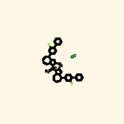 [CH2]=[Hf+2]([CH]1C(CC)=CC2=C1C=CC=CC2c1ccc(-c2ccccc2)c(F)c1)[CH]1C(CC)=CC2=C1C=CC=CC2c1ccc(-c2ccccc2)c(F)c1.[Cl-].[Cl-]